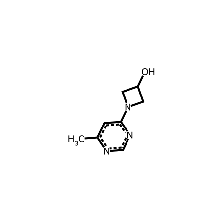 Cc1cc(N2CC(O)C2)ncn1